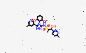 COc1cccc(OC)c1-n1c(NS(=O)(=O)C(C)C(O)c2ccc(C)nn2)nnc1-c1cncc(C)c1